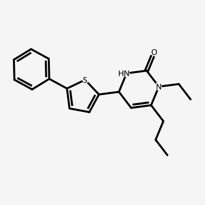 CCCC1=CC(c2ccc(-c3ccccc3)s2)NC(=O)N1CC